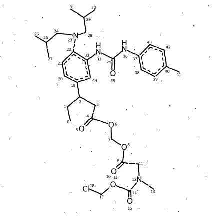 CCC(CC(=O)OCOC(=O)CN(C)C(=O)OCCl)c1ccc(N(CC(C)C)CC(C)C)c(NC(=O)Nc2ccc(C)cc2)c1